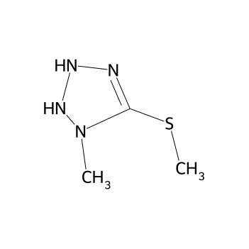 CSC1=NNNN1C